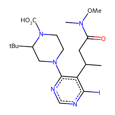 CON(C)C(=O)CC(C)c1c(I)ncnc1N1CCN(C(=O)O)C(C(C)(C)C)C1